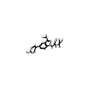 CSc1ncc(-c2ccc3c(c2)c(C(C)=O)nn3CC(=O)OC(C)(C)C)cn1